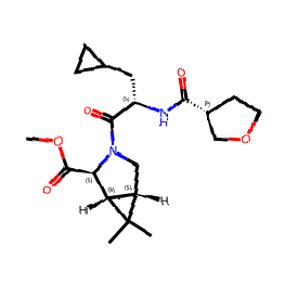 COC(=O)[C@@H]1[C@@H]2[C@H](CN1C(=O)[C@H](CC1CC1)NC(=O)[C@@H]1CCOC1)C2(C)C